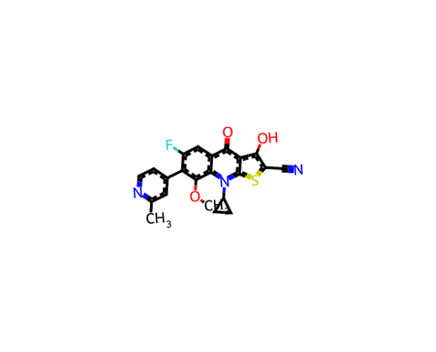 COc1c(-c2ccnc(C)c2)c(F)cc2c(=O)c3c(O)c(C#N)sc3n(C3CC3)c12